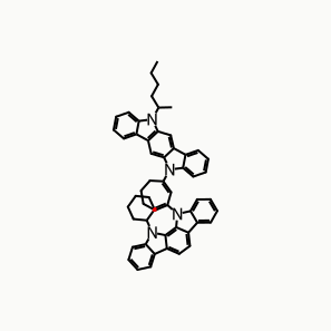 CCCCC(C)n1c2ccccc2c2cc3c(cc21)c1ccccc1n3C1=CC(n2c3ccccc3c3ccc4c5ccccc5n(C5CCCCC5)c4c32)=CCCC1